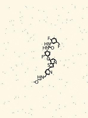 COCCNCc1ccc(-c2cc3nccc(Oc4ccc(NC(=O)Nc5cc(CF)ccc5F)cc4F)c3s2)nc1